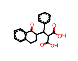 O=C1c2ccccc2CCC1C(c1ccccc1)C(C(=O)O)C(=O)O